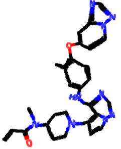 C=CC(=O)N(C)C1CCN(c2ccn3ncnc(Nc4ccc(Oc5ccn6ncnc6c5)c(C)c4)c23)CC1